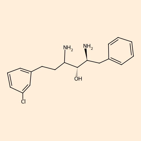 NC(CCc1cccc(Cl)c1)[C@@H](O)[C@@H](N)Cc1ccccc1